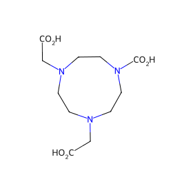 O=C(O)CN1CCN(CC(=O)O)CCN(C(=O)O)CC1